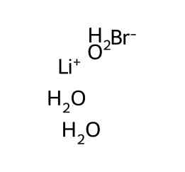 O.O.O.[Br-].[Li+]